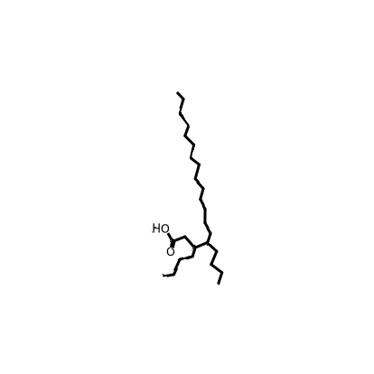 CCCCCCCCCCCCCC[C](CCCC)C(CCCC)CC(=O)O